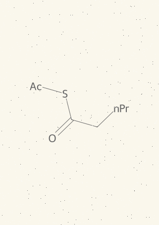 CCCCC(=O)SC(C)=O